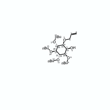 C=CCO[C@H]1[C@@H](O)[C@@H](OCCCC)[C@H](OCCCC)[C@@H](OCCCC)[C@@H]1OCCCC